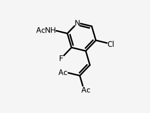 CC(=O)Nc1ncc(Cl)c(C=C(C(C)=O)C(C)=O)c1F